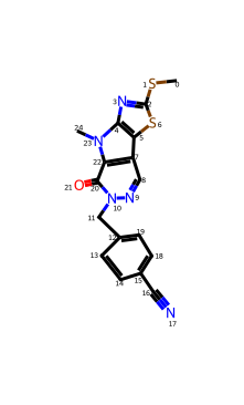 CSc1nc2c(s1)c1cnn(Cc3ccc(C#N)cc3)c(=O)c1n2C